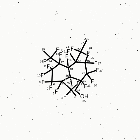 CC(F)(F)C1(F)C(F)(F)C(F)(F)C(F)(C(C)(F)F)C2(F)C(F)(C(C)(F)F)C(F)(F)C(F)(F)C(F)(CO)C12F